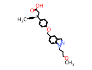 CC#C[C@@H](CC(=O)O)c1ccc(OCc2ccc3c(cnn3CCCOC)c2)cc1